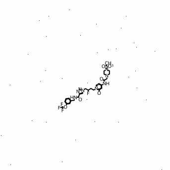 CS(=O)(=O)N1CCN(CC(=O)Nc2ccn(CCC(F)Cn3cc(C(=O)NCc4cccc(OC(F)(F)F)c4)nn3)c(=O)c2)CC1